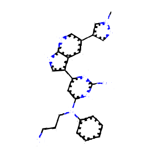 Cn1cc(-c2cnc3[nH]cc(-c4cc(N(CCCN)c5ccccc5)nc(N)n4)c3c2)cn1